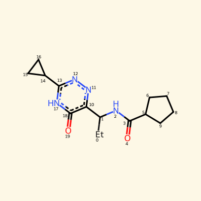 CCC(NC(=O)C1CCCC1)c1nnc(C2CC2)[nH]c1=O